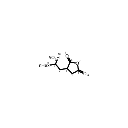 CCCCCCC(CC1CC(=O)OC1=O)S(=O)(=O)O